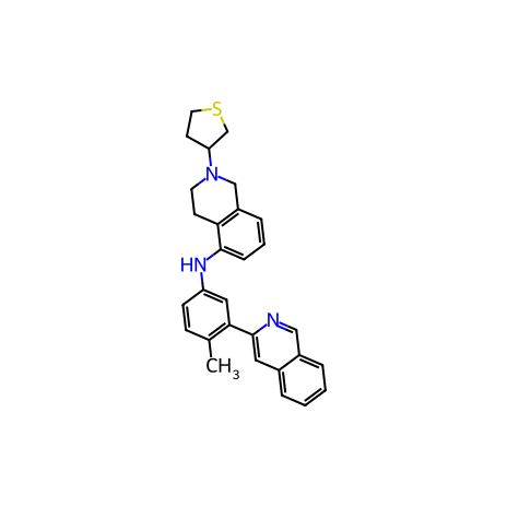 Cc1ccc(Nc2cccc3c2CCN(C2CCSC2)C3)cc1-c1cc2ccccc2cn1